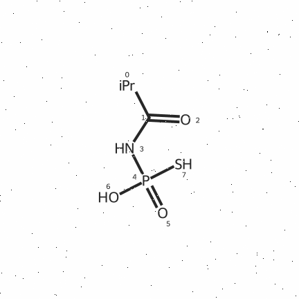 CC(C)C(=O)NP(=O)(O)S